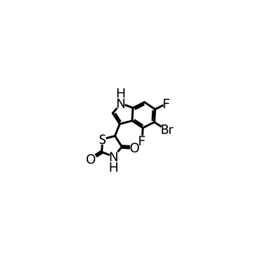 O=C1NC(=O)C(c2c[nH]c3cc(F)c(Br)c(F)c23)S1